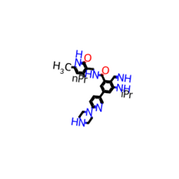 CCCc1cc(C)[nH]c(=O)c1CNC(=O)c1cc(-c2ccc(N3CCNCC3)nc2)cc(NC(C)C)c1C=N